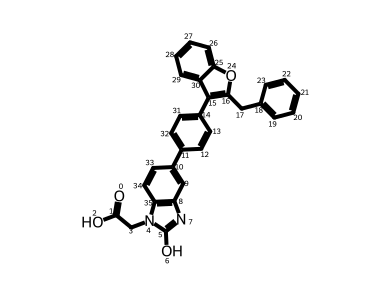 O=C(O)Cn1c(O)nc2cc(-c3ccc(-c4c(Cc5ccccc5)oc5ccccc45)cc3)ccc21